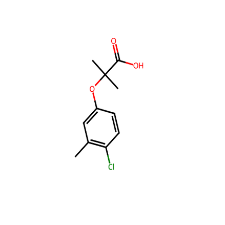 Cc1cc(OC(C)(C)C(=O)O)ccc1Cl